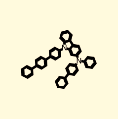 C1=CC(c2ccc(N(c3ccccc3)c3ccc4c5ccccc5n(-c5ccc(-c6ccc(-c7ccccc7)cc6)cc5)c4c3)cc2)=CCC1